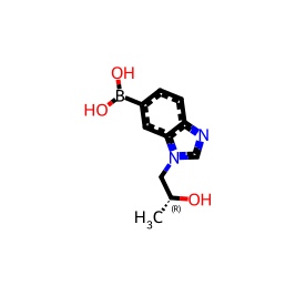 C[C@@H](O)Cn1cnc2ccc(B(O)O)cc21